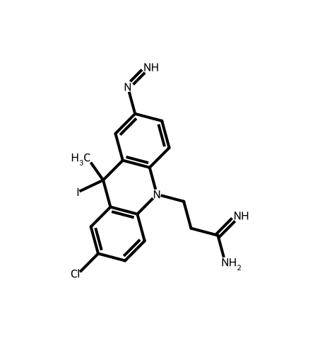 CC1(I)c2cc(Cl)ccc2N(CCC(=N)N)c2ccc(N=N)cc21